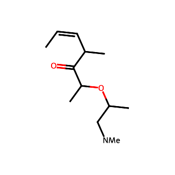 C/C=C\C(C)C(=O)C(C)OC(C)CNC